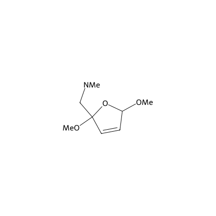 CNCC1(OC)C=CC(OC)O1